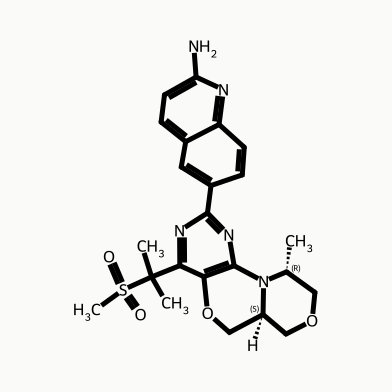 C[C@@H]1COC[C@H]2COc3c(nc(-c4ccc5nc(N)ccc5c4)nc3C(C)(C)S(C)(=O)=O)N21